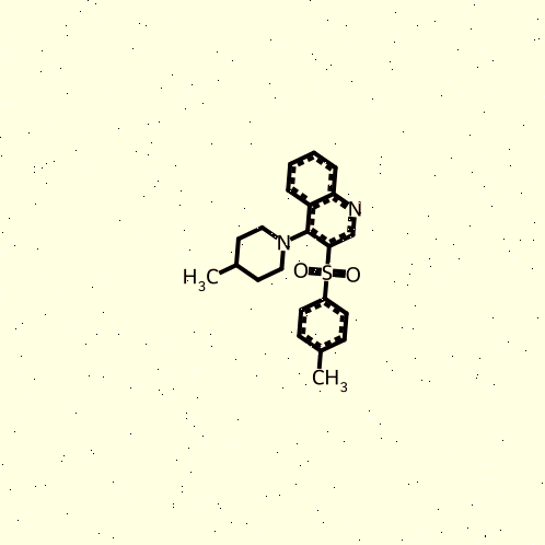 Cc1ccc(S(=O)(=O)c2cnc3ccccc3c2N2CCC(C)CC2)cc1